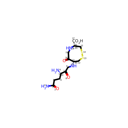 NC(=O)CC[C@H](N)C(=O)CN[C@H]1CSSC[C@@H](C(=O)O)NCC1=O